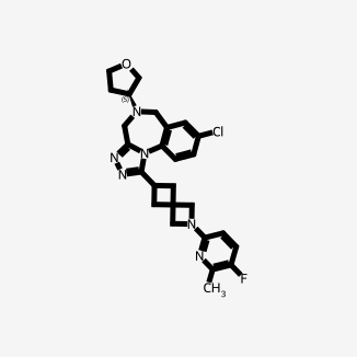 Cc1nc(N2CC3(CC(c4nnc5n4-c4ccc(Cl)cc4CN([C@H]4CCOC4)C5)C3)C2)ccc1F